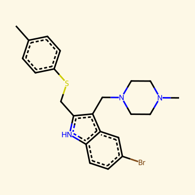 Cc1ccc(SCc2[nH]c3ccc(Br)cc3c2CN2CCN(C)CC2)cc1